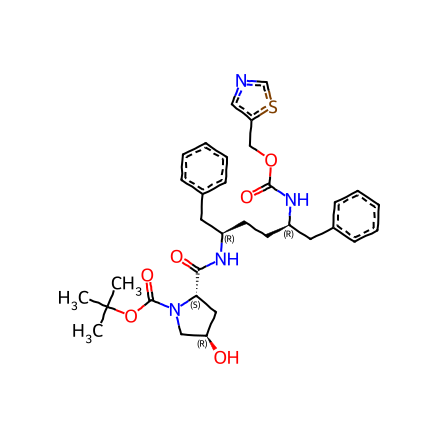 CC(C)(C)OC(=O)N1C[C@H](O)C[C@H]1C(=O)N[C@H](CC[C@H](Cc1ccccc1)NC(=O)OCc1cncs1)Cc1ccccc1